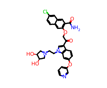 NC(=O)c1cc2cc(Cl)ccc2cc1OCC(=O)c1cn(CCN2C[C@@H](O)[C@@H](O)C2)c2cc(Oc3cccnc3)ccc12